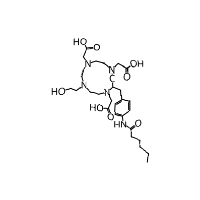 CCCCCC(=O)Nc1ccc(CC2CN(CC(=O)O)CCN(CC(=O)O)CCN(CCO)CCN2CC(=O)O)cc1